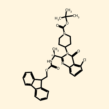 C[C@H](NC(=O)OCC1c2ccccc2-c2ccccc21)c1nc2cccc(Cl)c2c(=O)n1C1CCN(C(=O)OC(C)(C)C)CC1